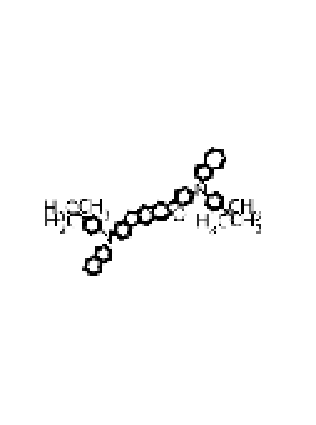 CC(C)(C)c1ccc(N(c2ccc3c(c2)Cc2cc4cc5c(cc4cc2-3)oc2cc(N(c3ccc(C(C)(C)C)cc3)c3ccc4c(c3)C=CCC=C4)ccc25)c2ccc3ccccc3c2)cc1